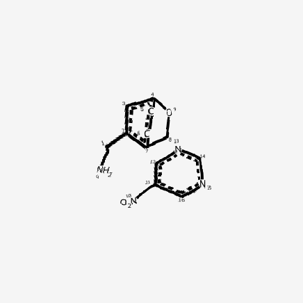 NCc1cc2ccc1CO2.O=[N+]([O-])c1cncnc1